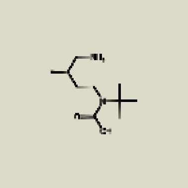 C[C@@H](CN)CCN(C(=O)O)C(C)(C)C